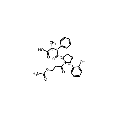 CC(=O)SCCC(=O)N1[C@@H](c2ccccc2O)SC[C@H]1C(=O)N(c1ccccc1)[C@@H](C)C(=O)O